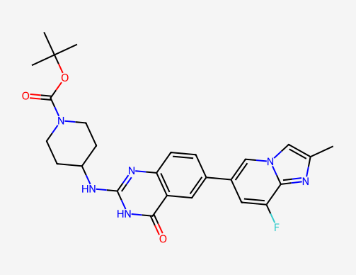 Cc1cn2cc(-c3ccc4nc(NC5CCN(C(=O)OC(C)(C)C)CC5)[nH]c(=O)c4c3)cc(F)c2n1